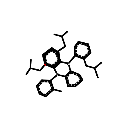 Cc1ccccc1P(c1ccccc1CC(C)C)c1ccccc1P(c1ccccc1CC(C)C)c1ccccc1CC(C)C